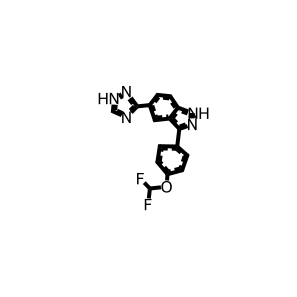 FC(F)Oc1ccc(-c2n[nH]c3ccc(-c4nc[nH]n4)cc23)cc1